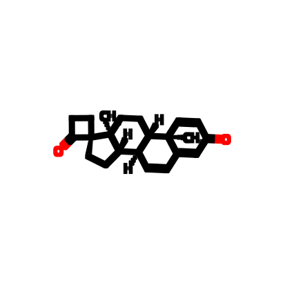 C[C@]12C=CC(=O)C=C1C=C[C@@H]1[C@@H]2CC[C@@]2(C)[C@H]1CC[C@@]21CCC1=O